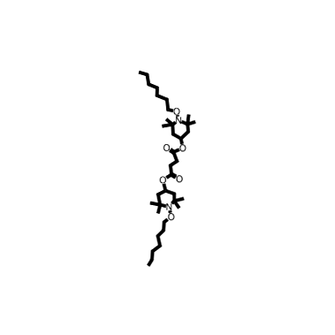 CCCCCCCON1C(C)(C)CC(OC(=O)CCC(=O)OC2CC(C)(C)N(OCCCCCCC)C(C)(C)C2)CC1(C)C